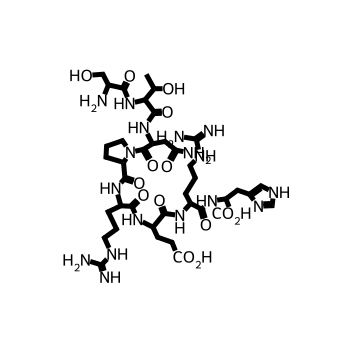 CC(O)C(NC(=O)C(N)CO)C(=O)NC(CC(N)=O)C(=O)N1CCCC1C(=O)NC(CCCNC(=N)N)C(=O)NC(CCC(=O)O)C(=O)NC(CCCNC(=N)N)C(=O)NC(Cc1c[nH]cn1)C(=O)O